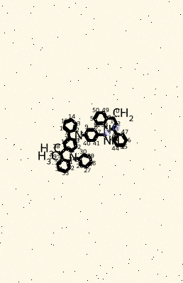 C=C(/C=C(\N=C(/N)c1ccc(-n2c3ccccc3c3cc4c(cc32)N(c2ccccc2)c2ccccc2C4(C)C)cc1)c1ccccc1)c1ccccc1